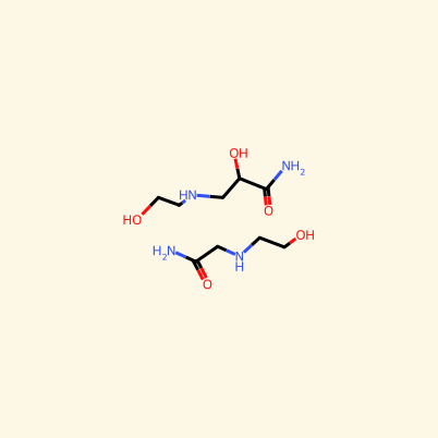 NC(=O)C(O)CNCCO.NC(=O)CNCCO